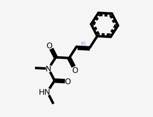 CNC(=O)N(C)C(=O)C(=O)/C=C/c1ccccc1